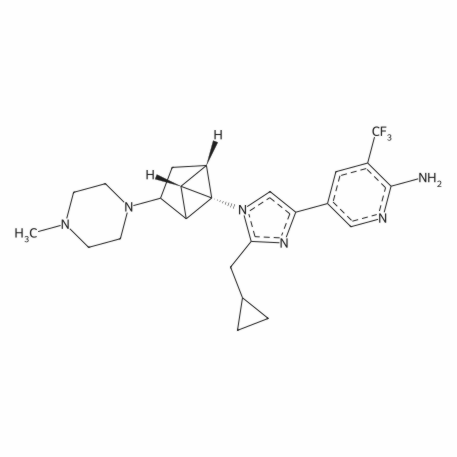 CN1CCN(C2C[C@H]3[C@H]4C2[C@@]43n2cc(-c3cnc(N)c(C(F)(F)F)c3)nc2CC2CC2)CC1